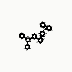 C1=CC(c2nc(-c3ccccc3)nc(-c3cccc(-c4cccc5oc6cc(-n7c8ccccc8c8ccccc87)ccc6c45)c3)n2)=CCC1